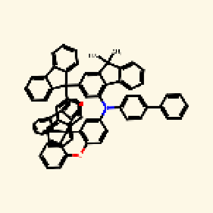 CC1(C)c2ccccc2-c2c(N(c3ccc(-c4ccccc4)cc3)c3ccc4c(c3)C3(c5ccccc5O4)c4ccccc4-c4ccccc43)cc(C3(c4ccc5ccccc5c4)c4ccccc4-c4ccccc43)cc21